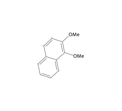 COc1[c][c]c2ccccc2c1OC